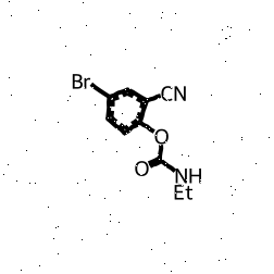 CCNC(=O)Oc1ccc(Br)cc1C#N